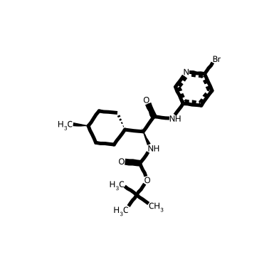 CC(C)(C)OC(=O)N[C@H](C(=O)Nc1ccc(Br)nc1)[C@H]1CC[C@H](C)CC1